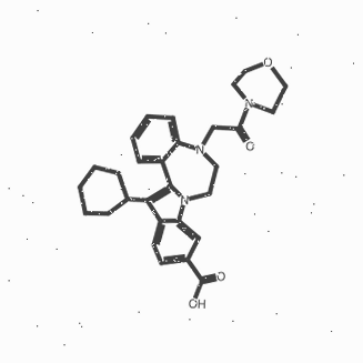 O=C(O)c1ccc2c(C3CCCCC3)c3n(c2c1)CCN(CC(=O)N1CCOCC1)c1ccccc1-3